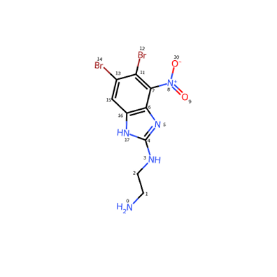 NCCNc1nc2c([N+](=O)[O-])c(Br)c(Br)cc2[nH]1